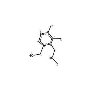 CNCc1c(CO)cnc(C)c1C